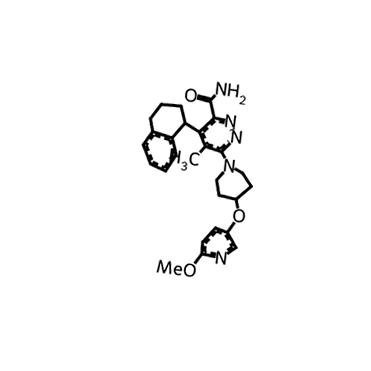 COc1ccc(OC2CCN(c3nnc(C(N)=O)c(C4CCCc5ccccc54)c3C)CC2)cn1